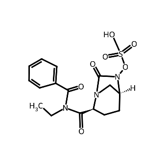 CCN(C(=O)c1ccccc1)C(=O)[C@@H]1CC[C@H]2CN1C(=O)N2OS(=O)(=O)O